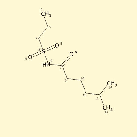 CCCS(=O)(=O)NC(=O)CCCC(C)C